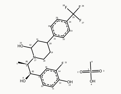 CS(=O)(=O)O.C[C@H]([C@H](O)c1ccc(O)c(F)c1)N1CCC(c2ccc(C(F)(F)F)cc2)CC1O